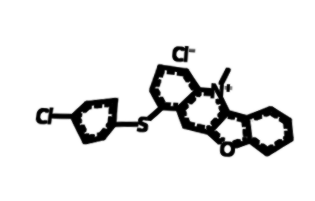 C[n+]1c2cccc(Sc3ccc(Cl)cc3)c2cc2oc3ccccc3c21.[Cl-]